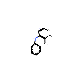 C/C=C\C(Nc1ccccc1)=C(C)C